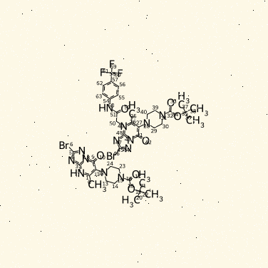 Cc1[nH]c2nc(Br)nn2c(=O)c1N1CCN(C(=O)OC(C)(C)C)CC1.Cc1c(N2CCN(C(=O)OC(C)(C)C)CC2)c(=O)n2nc(Br)nc2n1CC(=O)Nc1ccc(C(F)(F)F)cc1